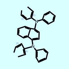 C/C=C\C(=C/C)N(c1ccccc1)c1ccc(N(C(/C=C\C)=C/C)c2ccccc2)c2ccccc12